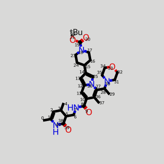 CC1=CC(C)C(CNC(=O)c2cc3cc(C4CCN(C(=O)OC(C)(C)C)CC4)cn3c(C(C)N3CCOCC3)c2C)C(=O)N1